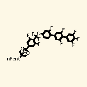 CCCCCC12COC(c3cc(F)c(C(F)(F)Oc4ccc(-c5cc(F)c(-c6cc(F)c(F)c(F)c6)c(F)c5)c(F)c4)c(F)c3)(OC1)OC2